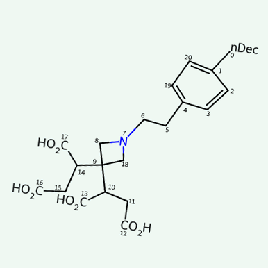 CCCCCCCCCCc1ccc(CCN2CC(C(CC(=O)O)C(=O)O)(C(CC(=O)O)C(=O)O)C2)cc1